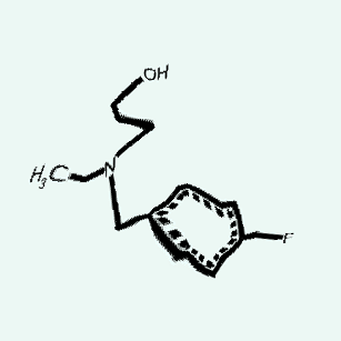 CN(CCO)Cc1ccc(F)cc1